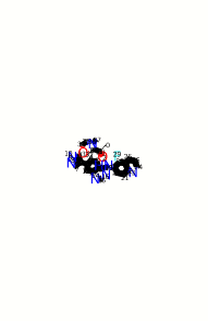 C[C@H](Oc1cc(-c2cnn(C)c2)cc2ncnc(Nc3ccc4ncccc4c3F)c12)[C@@H]1COCCN1C